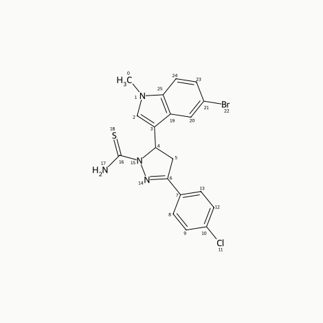 Cn1cc(C2CC(c3ccc(Cl)cc3)=NN2C(N)=S)c2cc(Br)ccc21